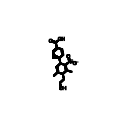 CC1=CC(c2ccc(C(=O)O)cn2)C([N+](=O)[O-])=C(C)C1CCO